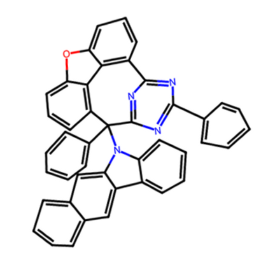 c1ccc(-c2nc3nc(n2)C(c2ccccc2)(n2c4ccccc4c4cc5ccccc5cc42)c2cccc4oc5cccc-3c5c24)cc1